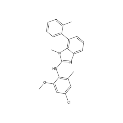 COc1cc(Cl)cc(C)c1Nc1nc2cccc(-c3ccccc3C)c2n1C